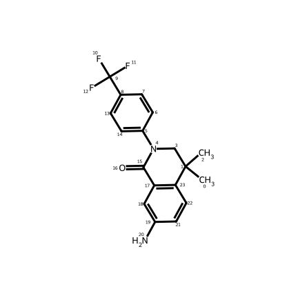 CC1(C)CN(c2ccc(C(F)(F)F)cc2)C(=O)c2cc(N)ccc21